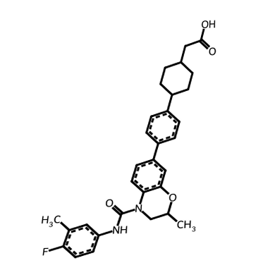 Cc1cc(NC(=O)N2CC(C)Oc3cc(-c4ccc(C5CCC(CC(=O)O)CC5)cc4)ccc32)ccc1F